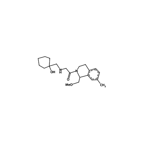 COCC1c2cc(C)ccc2CCN1C(=O)CNCC1(O)CCCCC1